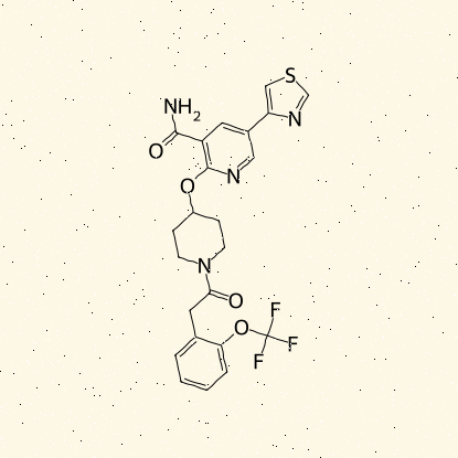 NC(=O)c1cc(-c2cscn2)cnc1OC1CCN(C(=O)Cc2ccccc2OC(F)(F)F)CC1